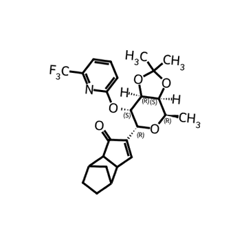 C[C@H]1O[C@H](C2=CC3C4CCC(C4)C3C2=O)[C@H](Oc2cccc(C(F)(F)F)n2)[C@H]2OC(C)(C)O[C@H]21